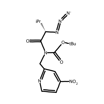 CC(C)[C@H](N=[N+]=[N-])C(=O)N(Cc1cc([N+](=O)[O-])ccn1)C(=O)OC(C)(C)C